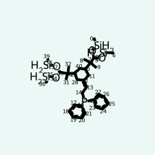 C[SiH2]OC(O[SiH2]C)C(C)(C)C1CC(=CCP(c2ccccc2)c2ccccc2)CC(C(C)(C)C(O[SiH2]C)O[SiH2]C)C1